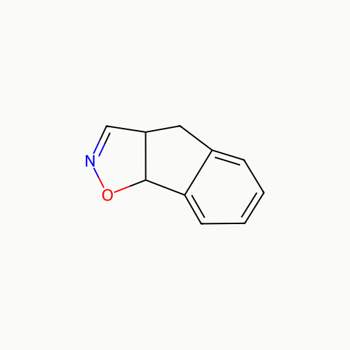 C1=NOC2c3ccccc3CC12